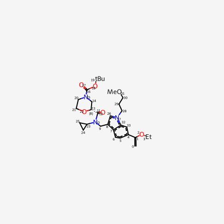 C=C(OCC)c1ccc2c(CN(C(=O)[C@H]3CN(C(=O)OC(C)(C)C)CCO3)C3CC3)cn(CCCOC)c2c1